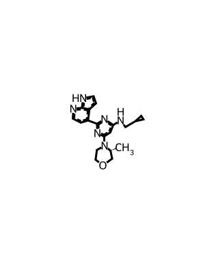 C[C@@H]1COCCN1c1cc(NCC2CC2)nc(-c2ccnc3[nH]ccc23)n1